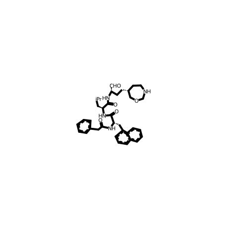 CC(C)C[C@H](NC(=O)[C@H](Cc1cccc2ccccc12)NC(=O)Cc1ccccc1)C(=O)N[C@H](C=O)CC[C@@H]1CCNCOC1